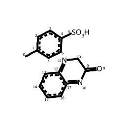 Cc1ccc(S(=O)(=O)O)cc1.O=C1CN=c2ccccc2=N1